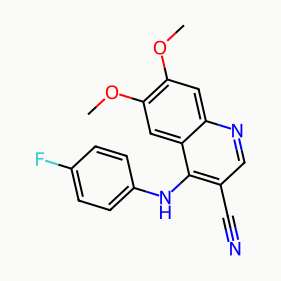 COc1cc2ncc(C#N)c(Nc3ccc(F)cc3)c2cc1OC